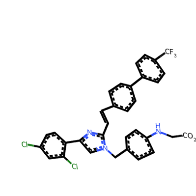 O=C(O)CNc1ccc(Cn2cc(-c3ccc(Cl)cc3Cl)nc2C=Cc2ccc(-c3ccc(C(F)(F)F)cc3)cc2)cc1